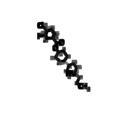 CCC[SiH]1CCC([C@H]2CC[C@H](OC(=O)c3ccc(Cl)c(F)c3)CC2)CC1